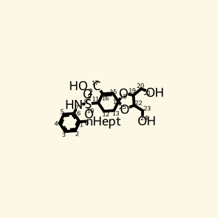 CCCCCCCc1ccccc1NS(=O)(=O)C1CCC2(C=C1C(=O)O)OC(CO)C(CO)O2